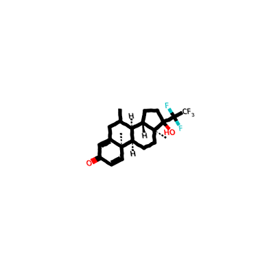 CC1CC2=CC(=O)C=C[C@]2(C)[C@@H]2CC[C@@]3(C)[C@@H](CCC3(O)C(F)(F)C(F)(F)F)[C@H]12